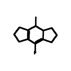 CC1C2=C(CCC2)C(F)=C2CCCC21